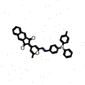 CC1=CC(=C2C(=O)c3cc4ccccc4cc3C2=O)C=C(/C=C/c2ccc(N(c3ccccc3)c3ccc(C)cc3)cc2)O1